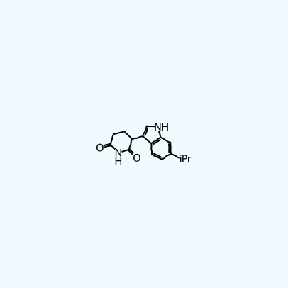 CC(C)c1ccc2c(C3CCC(=O)NC3=O)c[nH]c2c1